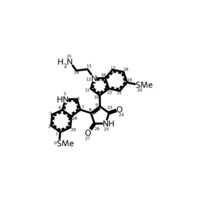 CSc1ccc2[nH]cc(C3=C(c4cn(CCN)c5ccc(SC)cc45)C(=O)NC3=O)c2c1